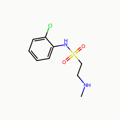 CNCCS(=O)(=O)Nc1ccccc1Cl